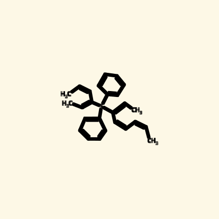 C\C=C/C=C\C(=C/C)S(C(/C=C\C)=C/C)(c1ccccc1)c1ccccc1